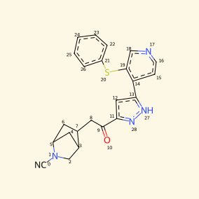 N#CN1CC2CC1CC2CC(=O)c1cc(-c2ccncc2Sc2ccccc2)[nH]n1